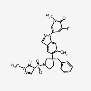 Cc1cc2c(cnn2-c2cc(F)c(=O)n(C)c2)cc1C1(Cc2ccccc2)CCN(S(=O)(=O)C2C=NN(C)N2)C1